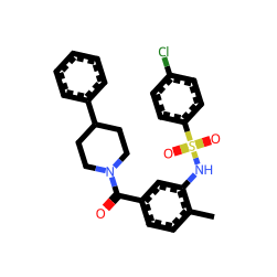 Cc1ccc(C(=O)N2CCC(c3ccccc3)CC2)cc1NS(=O)(=O)c1ccc(Cl)cc1